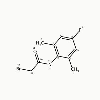 Cc1cc(F)cc(C)c1NC(=O)CBr